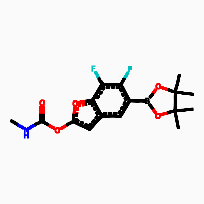 CNC(=O)Oc1cc2cc(B3OC(C)(C)C(C)(C)O3)c(F)c(F)c2o1